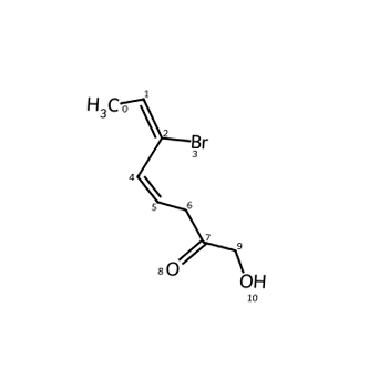 C/C=C(Br)\C=C/CC(=O)CO